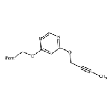 CC#CCOc1cc(OCC(C)CCC)ncn1